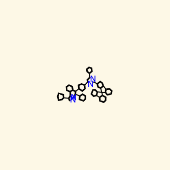 c1ccc(-c2cc(-c3ccc(-c4c(-c5ccccc5)n5ncc(-c6ccccc6)c5c5ccccc45)cc3)nc(-c3ccc4c(c3)C3(c5ccccc5-c5ccccc53)c3ccccc3-4)n2)cc1